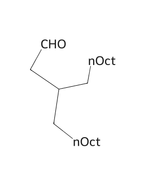 CCCCCCCCCC(CC=O)CCCCCCCCC